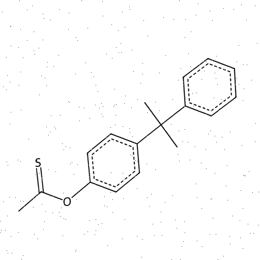 CC(=S)Oc1ccc(C(C)(C)c2ccccc2)cc1